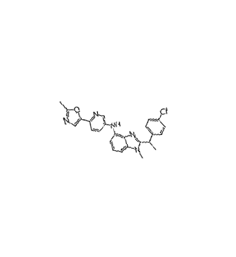 Cc1ncc(-c2ccc(Nc3cccc4c3nc(C(C)c3ccc(Cl)cc3)n4C)cn2)o1